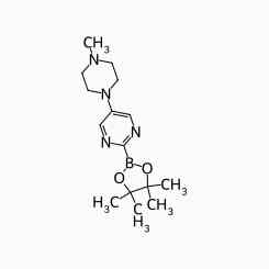 CN1CCN(c2cnc(B3OC(C)(C)C(C)(C)O3)nc2)CC1